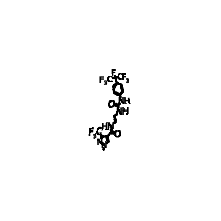 Cn1cc(C(=O)NCCNC(=O)Nc2ccc(C(F)(C(F)(F)F)C(F)(F)F)cc2)c(C(F)(F)F)n1